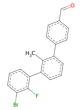 Cc1c(-c2ccc(C=O)cc2)cccc1-c1cccc(Br)c1F